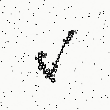 CC[C@@]1(O)C(=O)OCc2c1cc1n(c2=O)Cc2c-1nc1ccc(NC(=O)CNC(=O)[C@H](Cc3ccccc3)NC(=O)CNC(=O)CNC(=O)CCOCCOCCOCCOCCNC(=O)c3ccc4nc(S(C)(=O)=O)sc4c3)c3c1c2CCO3